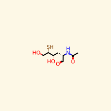 CC(=O)N[C@H](C=O)C[C@H](O)[C@@H](S)CO